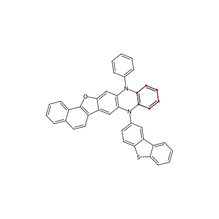 c1ccc(N(c2ccccc2)c2cc3oc4c5ccccc5ccc4c3cc2N(c2ccccc2)c2ccc3sc4ccccc4c3c2)cc1